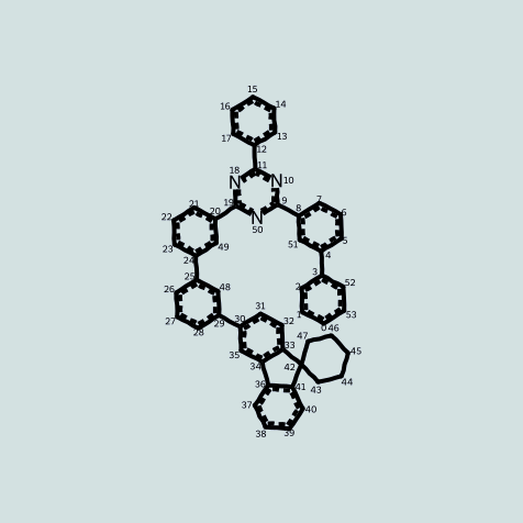 c1ccc(-c2cccc(-c3nc(-c4ccccc4)nc(-c4cccc(-c5cccc(-c6ccc7c(c6)-c6ccccc6C76CCCCC6)c5)c4)n3)c2)cc1